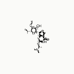 CC[C@H]1O[C@@H](c2scc3c(=O)[nH]c(/N=C/N(C)C)nc23)[C@H](O)[C@@H]1OC